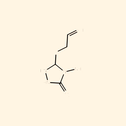 C=CCSC1NNC(=O)N1N